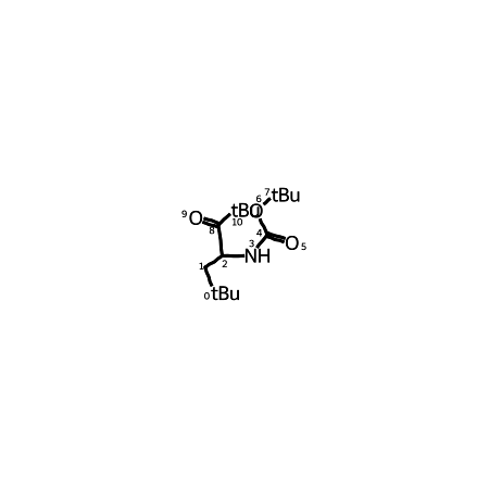 CC(C)(C)CC(NC(=O)OC(C)(C)C)C(=O)C(C)(C)C